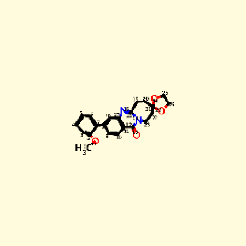 COc1ccccc1-c1ccc2c(=O)n3c(nc2c1)CCC1(CC3)OCCO1